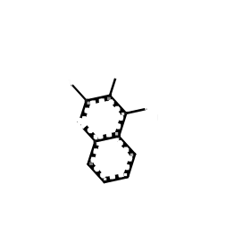 Clc1nc2ccccc2c(Cl)c1Cl.O.[Ti]